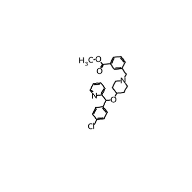 COC(=O)c1cccc(CN2CCC(OC(c3ccc(Cl)cc3)c3ccccn3)CC2)c1